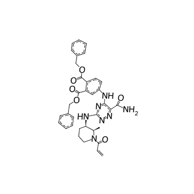 C=CC(=O)N1CCC[C@@H](Nc2nnc(C(N)=O)c(Nc3ccc(C(=O)OCc4ccccc4)c(C(=O)OCc4ccccc4)c3)n2)[C@H]1C